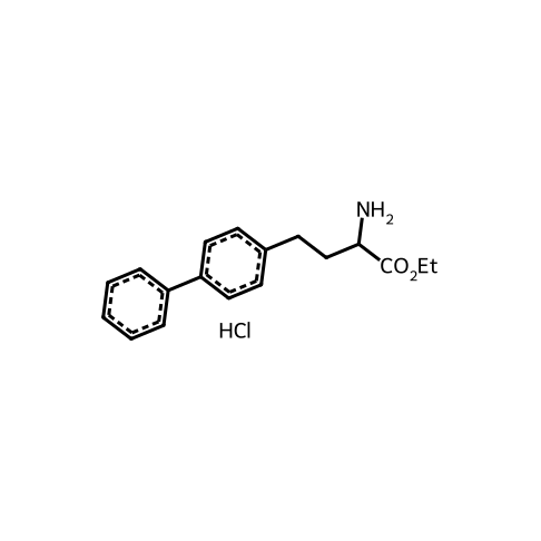 CCOC(=O)C(N)CCc1ccc(-c2ccccc2)cc1.Cl